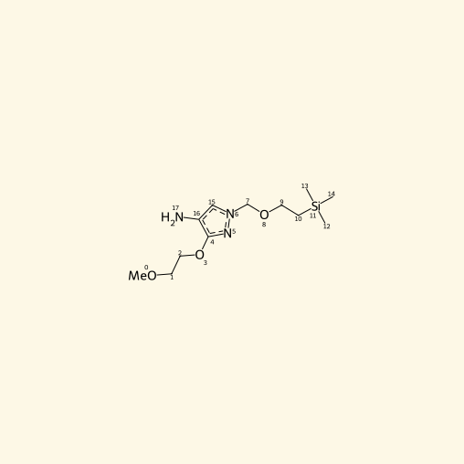 COCCOc1nn(COCC[Si](C)(C)C)cc1N